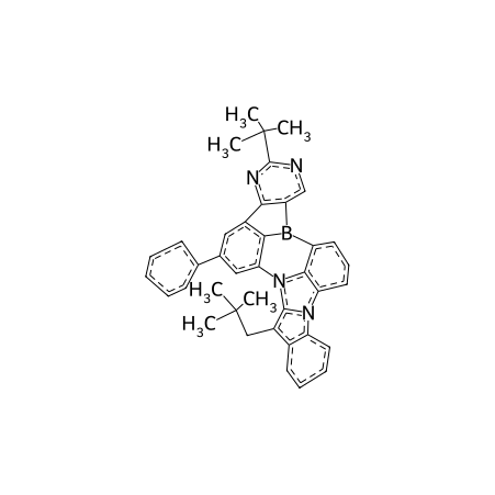 CC(C)(C)Cc1c2ccccc2n2c3cccc4c3n(c12)-c1cc(-c2ccccc2)cc2c1B4c1cnc(C(C)(C)C)nc1-2